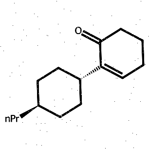 CCC[C@H]1CC[C@H](C2=CCCCC2=O)CC1